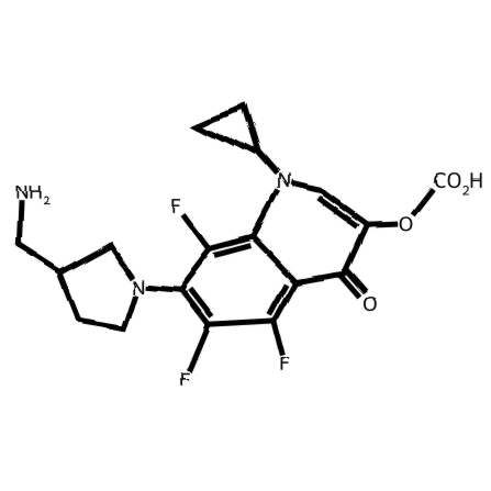 NCC1CCN(c2c(F)c(F)c3c(=O)c(OC(=O)O)cn(C4CC4)c3c2F)C1